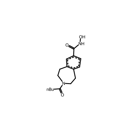 CCCCC(=O)N1CCc2ccc(C(=O)NO)cc2CC1